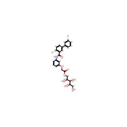 O=C(COc1cccc(NC(=O)c2cc(-c3cccc(F)c3)ccc2F)c1)OCC(O)C(O)C(O)CO